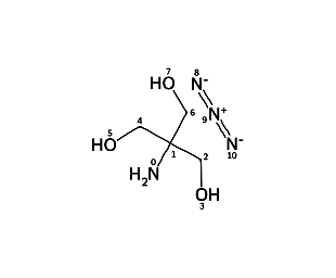 NC(CO)(CO)CO.[N-]=[N+]=[N-]